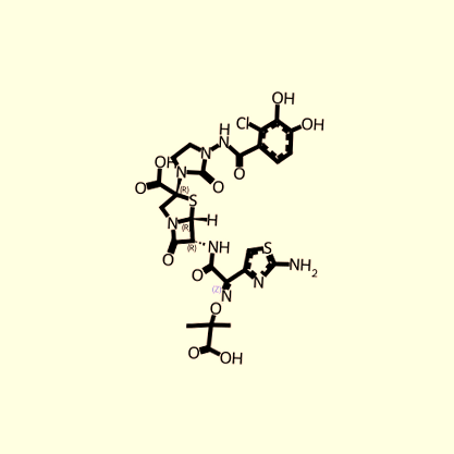 CC(C)(O/N=C(\C(=O)N[C@@H]1C(=O)N2C[C@@](C(=O)O)(N3CCN(NC(=O)c4ccc(O)c(O)c4Cl)C3=O)S[C@H]12)c1csc(N)n1)C(=O)O